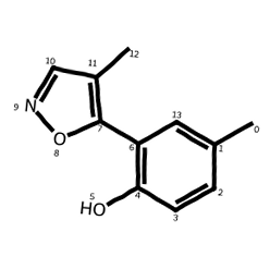 Cc1ccc(O)c(-c2oncc2C)c1